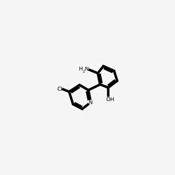 Nc1cccc(O)c1-c1cc(Cl)ccn1